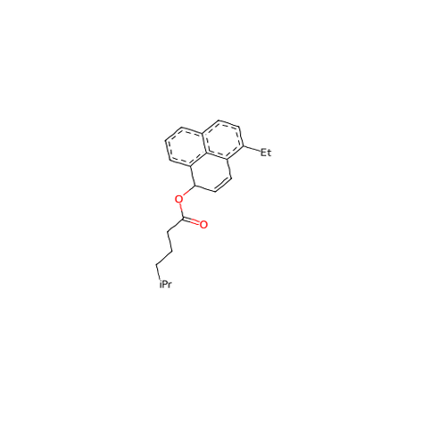 CCc1ccc2cccc3c2c1C=CC3OC(=O)CCCC(C)C